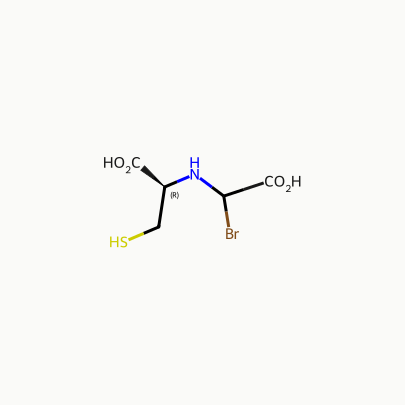 O=C(O)C(Br)N[C@@H](CS)C(=O)O